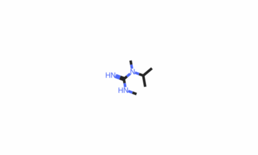 CNC(=N)N(C)C(C)C